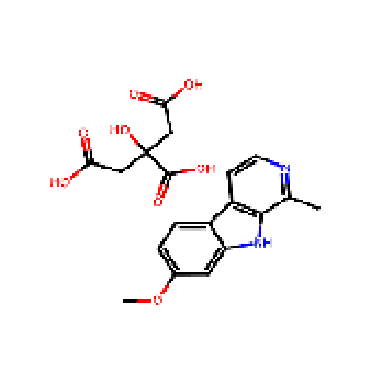 COc1ccc2c(c1)[nH]c1c(C)nccc12.O=C(O)CC(O)(CC(=O)O)C(=O)O